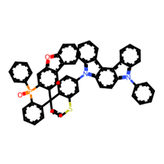 O=P1(c2ccccc2)c2ccccc2C2(c3ccccc3Sc3cc(-n4c5ccccc5c5c6c7ccccc7n(-c7ccccc7)c6ccc54)ccc32)c2cc3c(cc21)oc1ccccc13